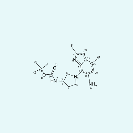 Cc1nc2c(N3CC[C@H](NC(=O)OC(C)(C)C)C3)c(N)cc(C)c2s1